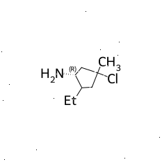 CCC1CC(C)(Cl)C[C@H]1N